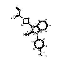 C=CC(=O)N1CC(n2c(=N)n(-c3ccc(C(F)(F)F)cc3)c3ccccc32)C1